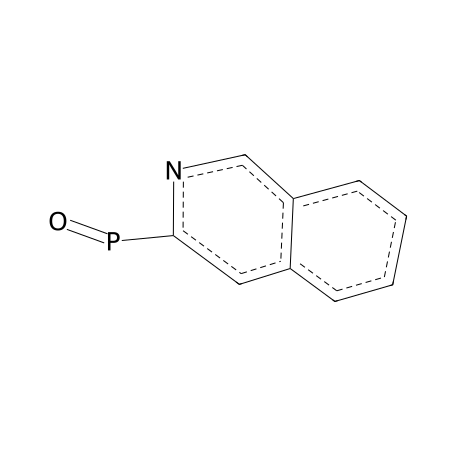 O=Pc1cc2ccccc2cn1